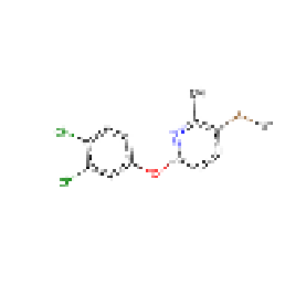 CC(C)Sc1ccc(Oc2ccc(Cl)c(Cl)c2)nc1C#N